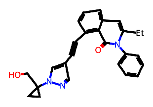 CCc1cc2cccc(C#Cc3cnn(C4(CO)CC4)c3)c2c(=O)n1-c1ccccc1